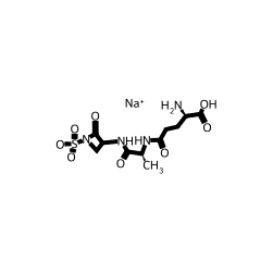 C[C@@H](NC(=O)CC[C@@H](N)C(=O)O)C(=O)NC1CN(S(=O)(=O)[O-])C1=O.[Na+]